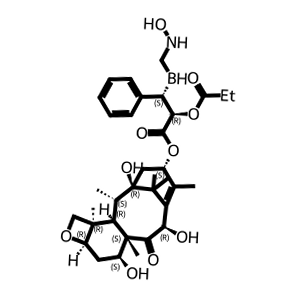 CCC(=O)O[C@@H](C(=O)O[C@H]1C[C@@]2(O)[C@@H](C)[C@@H]3[C@]4(C)CO[C@@H]4C[C@H](O)[C@@]3(C)C(=O)[C@H](O)C(=C1C)C2(C)C)[C@@H](BCNO)c1ccccc1